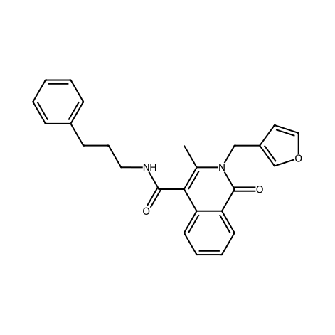 Cc1c(C(=O)NCCCc2ccccc2)c2ccccc2c(=O)n1Cc1ccoc1